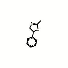 CC1=NCC(c2ccccc2)O1